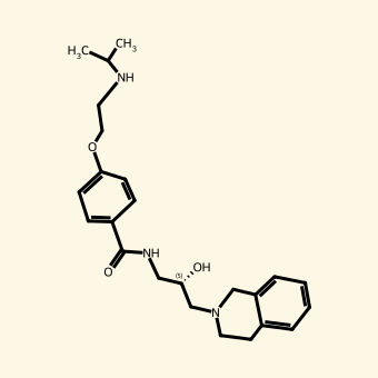 CC(C)NCCOc1ccc(C(=O)NC[C@H](O)CN2CCc3ccccc3C2)cc1